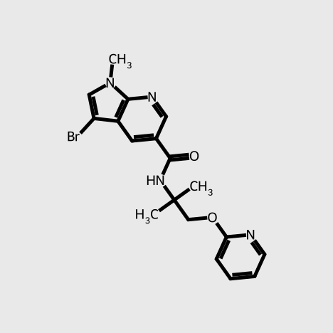 Cn1cc(Br)c2cc(C(=O)NC(C)(C)COc3ccccn3)cnc21